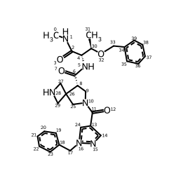 CNC(=O)[C@@H](NC(=O)[C@@H]1CN(C(=O)c2cnn(Cc3ccccc3)c2)CC12CNC2)[C@@H](C)OCc1ccccc1